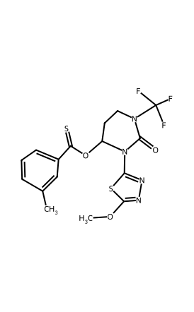 COc1nnc(N2C(=O)N(C(F)(F)F)CCC2OC(=S)c2cccc(C)c2)s1